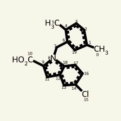 Cc1ccc(C)c(Cn2c(C(=O)O)cc3cc(Cl)ccc32)c1